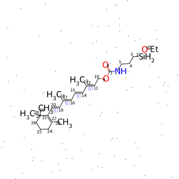 CCO[SiH2]CCCNC(=O)OC/C=C(C)/C=C/C=C(C)/C=C/C1=C(C)CCCC1(C)C